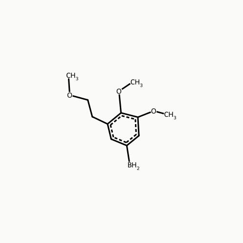 Bc1cc(CCOC)c(OC)c(OC)c1